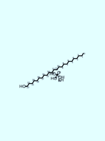 CCCCCCCCCCCCCCCCCCCCCCCCO.O=P(O)(O)O.[KH]